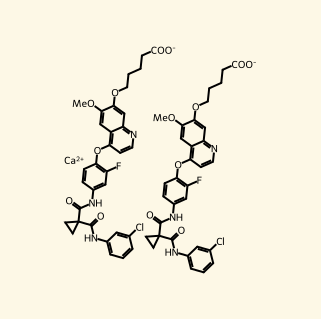 COc1cc2c(Oc3ccc(NC(=O)C4(C(=O)Nc5cccc(Cl)c5)CC4)cc3F)ccnc2cc1OCCCCC(=O)[O-].COc1cc2c(Oc3ccc(NC(=O)C4(C(=O)Nc5cccc(Cl)c5)CC4)cc3F)ccnc2cc1OCCCCC(=O)[O-].[Ca+2]